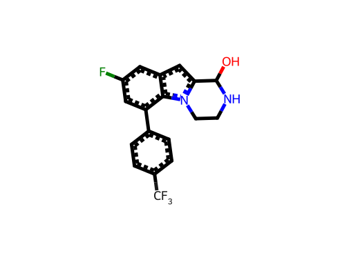 OC1NCCn2c1cc1cc(F)cc(-c3ccc(C(F)(F)F)cc3)c12